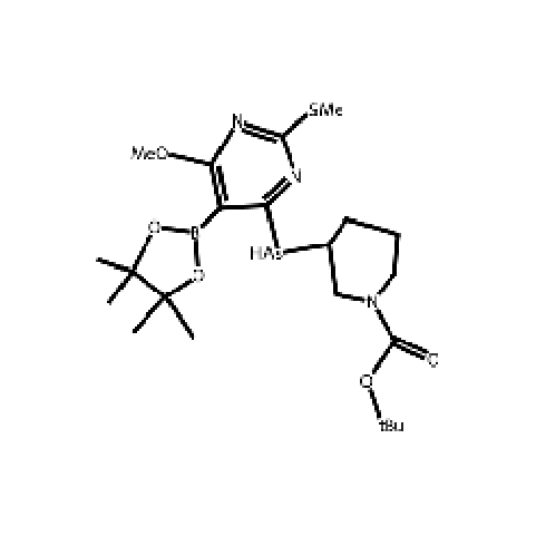 COc1nc(SC)nc([AsH]C2CCCN(C(=O)OC(C)(C)C)C2)c1B1OC(C)(C)C(C)(C)O1